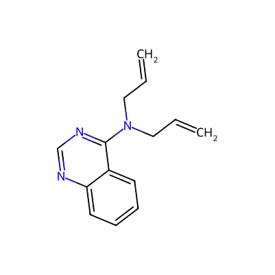 C=CCN(CC=C)c1ncnc2ccccc12